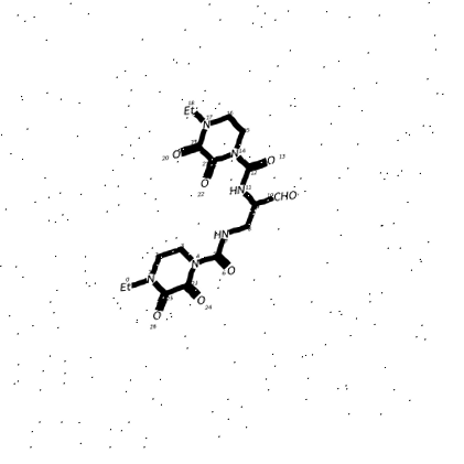 CCN1CCN(C(=O)NCC([C]=O)NC(=O)N2CCN(CC)C(=O)C2=O)C(=O)C1=O